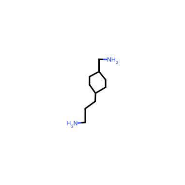 NCCCC1CCC(CN)CC1